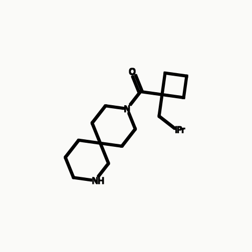 CC(C)CC1(C(=O)N2CCC3(CCCNC3)CC2)CCC1